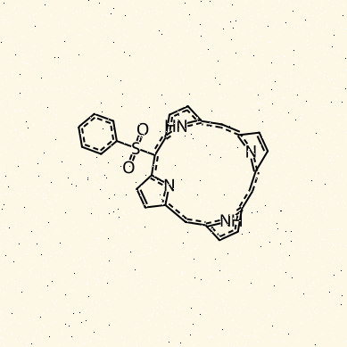 O=S(=O)(c1ccccc1)c1c2nc(cc3ccc(cc4nc(cc5ccc1[nH]5)C=C4)[nH]3)C=C2